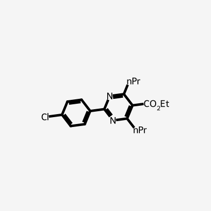 CCCc1nc(-c2ccc(Cl)cc2)nc(CCC)c1C(=O)OCC